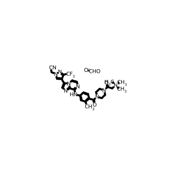 Cc1cc(Nc2nccn3c(-c4cn(CC#N)nc4C(F)(F)F)cnc23)ccc1C(=O)N1CCN(C(=O)C[N+](C)(C)C)CC1.O=C[O-]